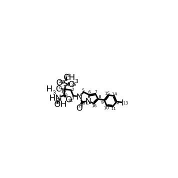 C[C@@](CCN1Cc2cc(-c3ccc(I)cc3)cn2C1=O)(C(=O)NO)S(C)(=O)=O